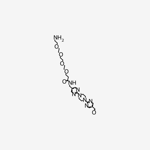 NCCOCCOCCOCCOCCC(=O)NCc1cnc(N2CCN(c3ncc(C=O)cn3)CC2)nc1